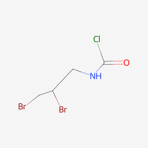 O=C(Cl)NCC(Br)CBr